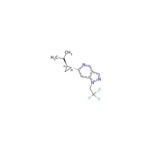 CC(C)[C@@H]1C[C@H]1c1cc2c(cn1)cnn2CC(F)(F)F